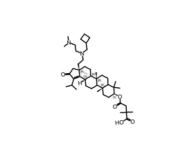 CC(C)C1=C2[C@H]3CCC4[C@@]5(C)CC[C@H](OC(=O)CC(C)(C)C(=O)O)C(C)(C)C5CC[C@@]4(C)[C@]3(C)CC[C@@]2(CCN(CCN(C)C)CC2CCC2)CC1=O